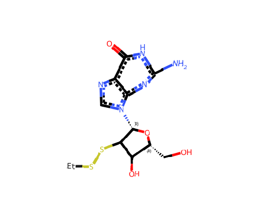 CCSSC1C(O)[C@@H](CO)O[C@H]1n1cnc2c(=O)[nH]c(N)nc21